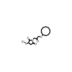 CCSC1CC(=O)N(CC(=O)COC2CCCCCCCCC2)C1=O